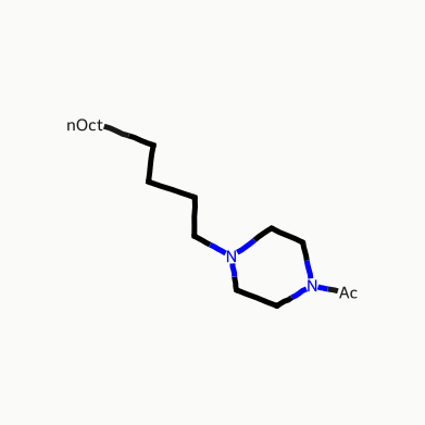 CCCCCCCCCCCCN1CCN(C(C)=O)CC1